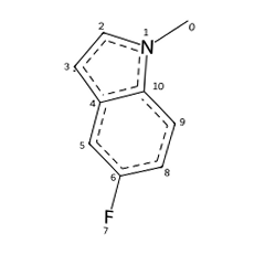 Cn1c[c]c2cc(F)ccc21